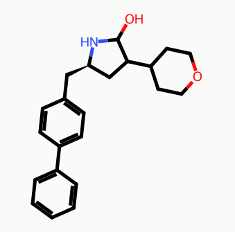 OC1N[C@H](Cc2ccc(-c3ccccc3)cc2)CC1C1CCOCC1